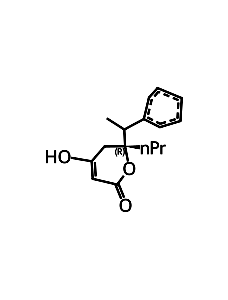 CCC[C@]1(C(C)c2ccccc2)CC(O)=CC(=O)O1